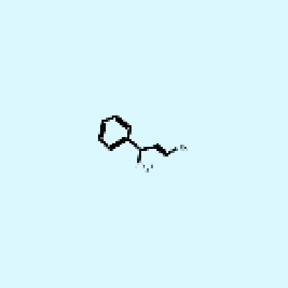 CCCC/C=C/C(C(=O)O)c1ccccc1